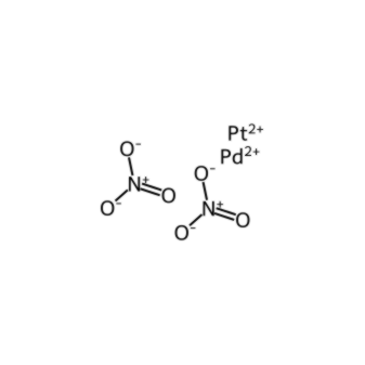 O=[N+]([O-])[O-].O=[N+]([O-])[O-].[Pd+2].[Pt+2]